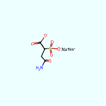 NC(=O)CC(C(=O)[O-])S(=O)(=O)[O-].[Na+].[Na+]